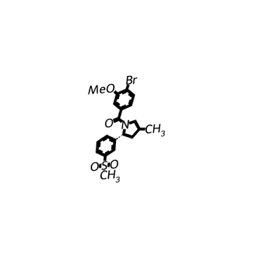 COc1cc(C(=O)N2CC(C)C[C@@H]2c2cccc(S(C)(=O)=O)c2)ccc1Br